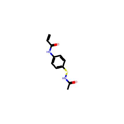 C=CC(=O)Nc1ccc(SNC(C)=O)cc1